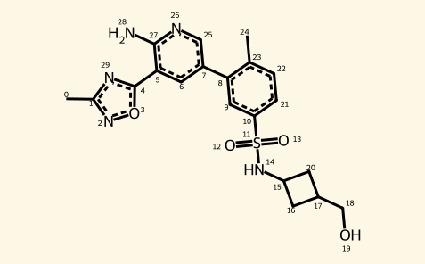 Cc1noc(-c2cc(-c3cc(S(=O)(=O)NC4CC(CO)C4)ccc3C)cnc2N)n1